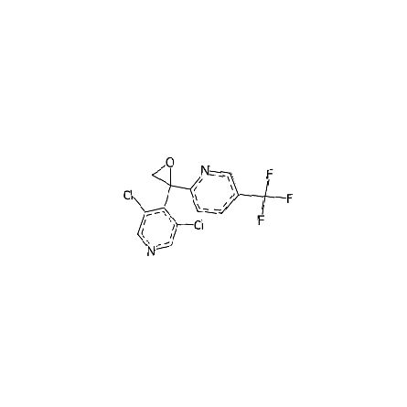 FC(F)(F)c1ccc(C2(c3c(Cl)cncc3Cl)CO2)nc1